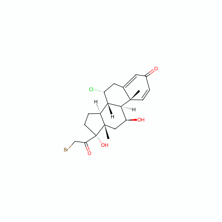 C[C@]12C=CC(=O)C=C1C[C@@H](Cl)[C@@H]1[C@@H]2[C@@H](O)C[C@@]2(C)[C@H]1CC[C@]2(O)C(=O)CBr